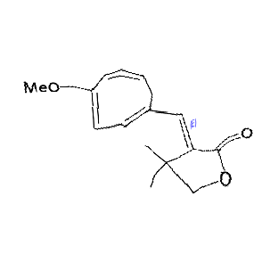 COc1ccc(/C=C2/C(=O)OCC2(C)C)cc1